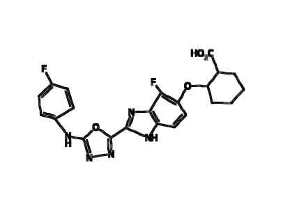 O=C(O)C1CCCCC1Oc1ccc2[nH]c(-c3nnc(Nc4ccc(F)cc4)o3)nc2c1F